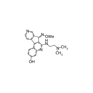 CON=C1c2cnccc2-c2c1c(NCCN(C)C)nc1cc(O)ccc21